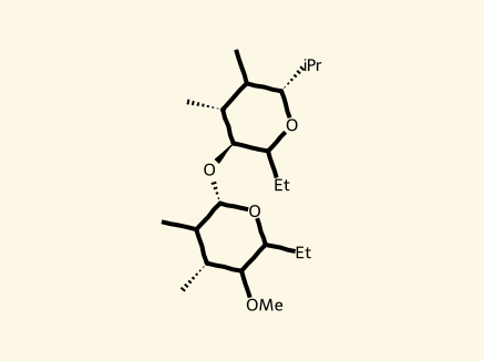 CCC1O[C@@H](O[C@@H]2C(CC)O[C@@H](C(C)C)C(C)[C@H]2C)C(C)[C@@H](C)C1OC